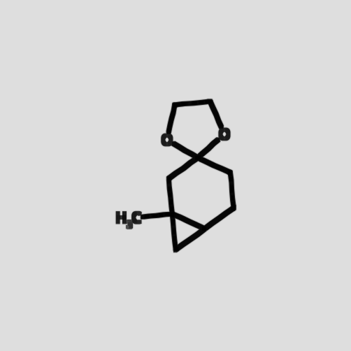 CC12CC1CCC1(C2)OCCO1